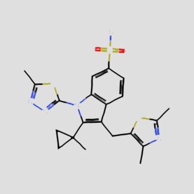 Cc1nnc(-n2c(C3(C)CC3)c(Cc3sc(C)nc3C)c3ccc(S(N)(=O)=O)cc32)s1